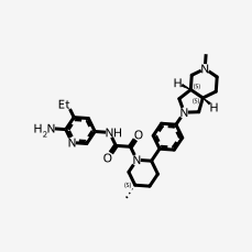 CCc1cc(NC(=O)C(=O)N2C[C@@H](C)CCC2c2ccc(N3C[C@H]4CCN(C)C[C@H]4C3)cc2)cnc1N